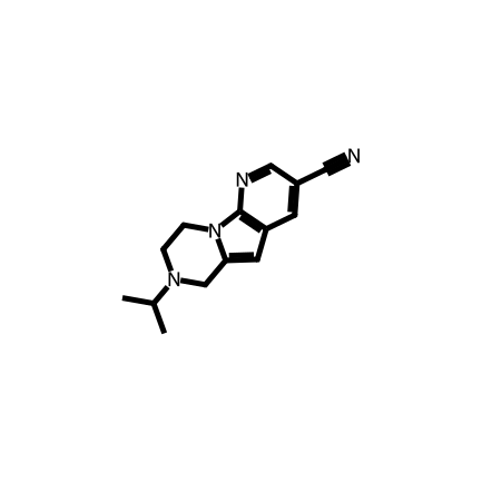 CC(C)N1CCn2c(cc3cc(C#N)cnc32)C1